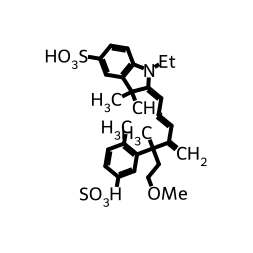 C=C(/C=C/C=C1/N(CC)c2ccc(S(=O)(=O)O)cc2C1(C)C)C(C)(CCOC)c1cc(S(=O)(=O)O)ccc1C